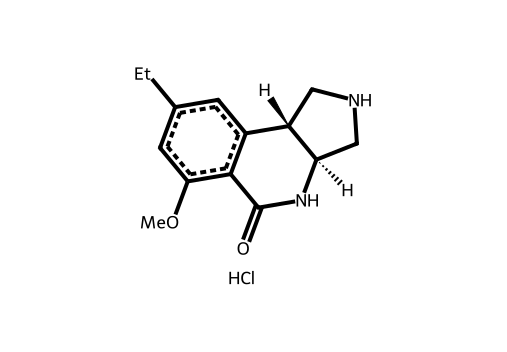 CCc1cc(OC)c2c(c1)[C@@H]1CNC[C@H]1NC2=O.Cl